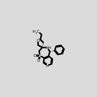 CCCC[C@@]1(CC)CS(=O)(=O)c2cnccc2[C@@H](c2ccccc2)N1